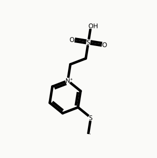 [CH2]Sc1ccc[n+](CCS(=O)(=O)O)c1